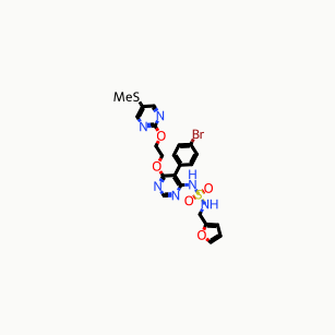 CSc1cnc(OCCOc2ncnc(NS(=O)(=O)NCc3ccco3)c2-c2ccc(Br)cc2)nc1